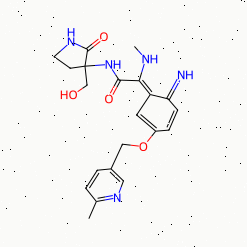 CN/C(C(=O)NC1(CO)CCNC1=O)=C1/C=C(OCc2ccc(C)nc2)C=CC1=N